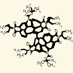 CCC(CC)n1c(=O)c2ccc3c4c(-c5cc6c(=O)n(C(CC)CC)c(=O)c7cc8c9c(c5c5ccc%10c(=O)n(C(CC)CC)c(=O)c%11cc(c9c5c%10%11)n8C(=O)OC(C)(C)C)c67)cc5c(=O)n(C(CC)CC)c(=O)c6cc7c(c4c56)c4c3c2c(cc4n7C(=O)OC(C)(C)C)c1=O